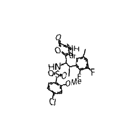 COc1cc(Cl)ccc1S(=O)(=O)NC(c1n[nH]c(=O)o1)C(C)c1c(F)c(F)cc(C)c1Br